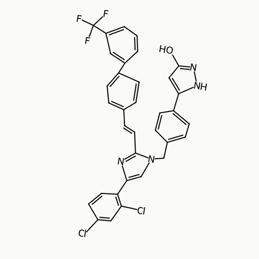 Oc1cc(-c2ccc(Cn3cc(-c4ccc(Cl)cc4Cl)nc3C=Cc3ccc(-c4cccc(C(F)(F)F)c4)cc3)cc2)[nH]n1